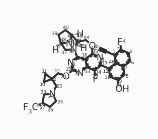 C#Cc1c(F)ccc2cc(O)cc(-c3nc4c5c(nc(OCC6(CN7CC[C@H](C(F)(F)F)C7)CC6)nc5c3F)N3C[C@H]5CC[C@H](N5)[C@H]3CO4)c12